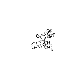 COC(=O)C(CC1CCOCC1)n1c(C)cc(OS(=O)(=O)C(F)(F)F)cc1=O